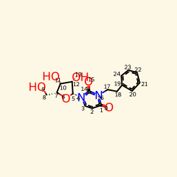 O=c1ccn([C@@H]2O[C@H](CO)[C@H](O)[C@@H]2O)c(=O)n1CCc1ccccc1